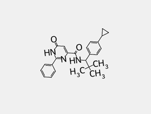 CC(C)(C)C(NC(=O)c1cc(=O)[nH]c(-c2ccccc2)n1)c1ccc(C2CC2)cc1